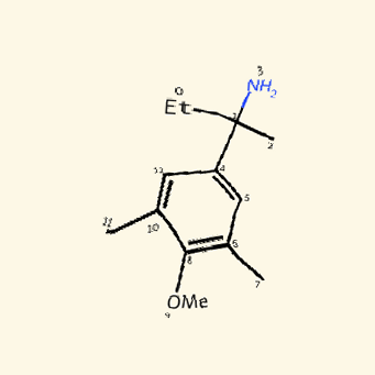 CCC(C)(N)c1cc(C)c(OC)c(C)c1